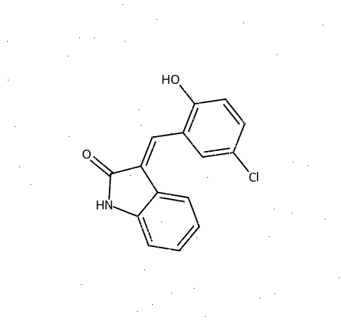 O=C1Nc2ccccc2/C1=C\c1cc(Cl)ccc1O